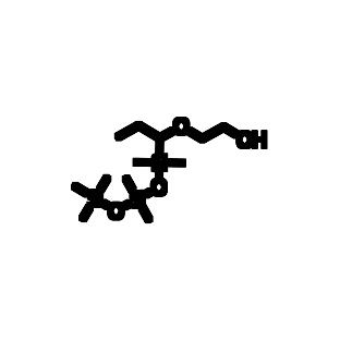 CCC(OCCO)[Si](C)(C)O[Si](C)(C)O[Si](C)(C)C